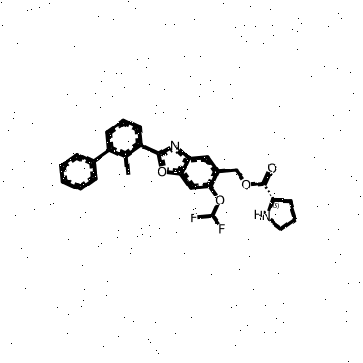 Cc1c(-c2ccccc2)cccc1-c1nc2cc(COC(=O)[C@@H]3CCCN3)c(OC(F)F)cc2o1